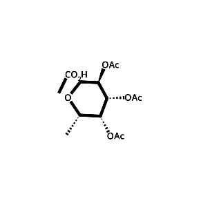 CC(=O)O.CC(=O)O[C@@H]1[C@H](OC(C)=O)[C@H](C)OC[C@H]1OC(C)=O